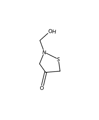 O=C1CSN(CO)C1